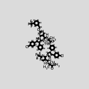 CC(C)(NC(=O)c1cnc(C(F)(F)F)nc1N1C[C@H](c2cccc(NC(=O)C(C)(C)NC(=O)c3cnc(OCc4cccc(C(F)(F)F)c4)nc3N3CC(c4ccccc4)C(c4ccc(Cl)cc4)=N3)c2)C(c2ccc(Cl)cc2)=N1)C(N)=O